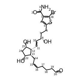 NC(=O)c1cc(CC[C@H](O)/C=C/[C@@H]2[C@@H](C/C=C\CCC[C]=O)[C@@H](O)C[C@H]2O)sc1Br